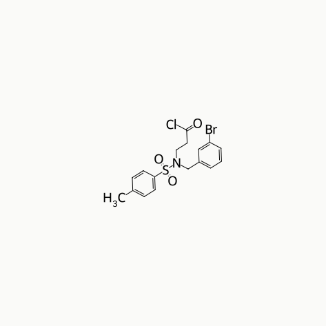 Cc1ccc(S(=O)(=O)N(CCC(=O)Cl)Cc2cccc(Br)c2)cc1